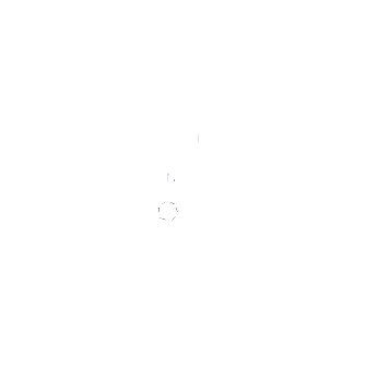 CCCCCCCC(CCNCc1ccc2c(c1)OCO2)C1CCCCC1